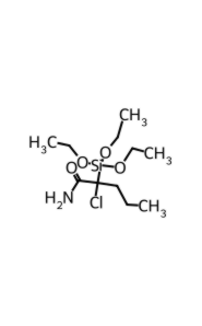 CCCC(Cl)(C(N)=O)[Si](OCC)(OCC)OCC